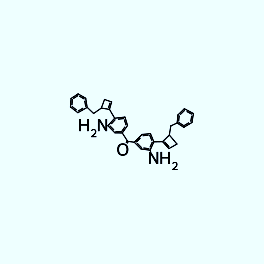 Nc1cc(C(=O)c2ccc(C3=CCC3Cc3ccccc3)c(N)c2)ccc1C1=CCC1Cc1ccccc1